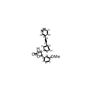 COc1cccc([C@H]2OC(=O)N[C@@H]2c2cccc(C#Cc3ccnnc3)c2)c1